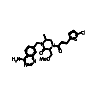 COCC1C(=O)N(Cc2ccc3c(N)ncnc3c2)C(C)CN1C(=O)C=Cc1ccc(Cl)s1